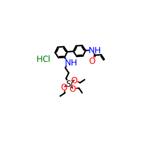 C=CC(=O)Nc1ccc(-c2ccccc2NCCC[Si](OCC)(OCC)OCC)cc1.Cl